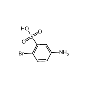 Nc1ccc(Br)c(S(=O)(=O)O)c1